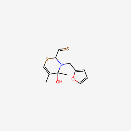 CC1=CSC(C=S)N(Cc2ccco2)C1(C)O